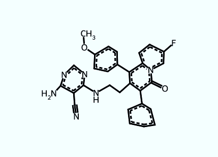 COc1ccc(-c2c(CCNc3ncnc(N)c3C#N)c(-c3ccccc3)c(=O)n3cc(F)ccc23)cc1